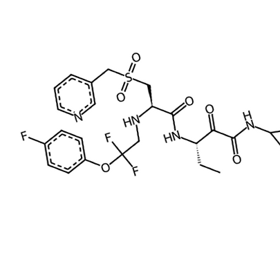 CC[C@H](NC(=O)[C@H](CS(=O)(=O)Cc1cccnc1)NCC(F)(F)Oc1ccc(F)cc1)C(=O)C(=O)NC1CC1